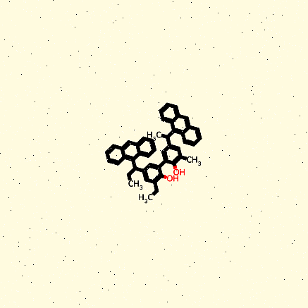 CCc1cc(C(CC)c2c3ccccc3cc3ccccc23)cc(-c2cc(C(C)c3c4ccccc4cc4ccccc34)cc(C)c2O)c1O